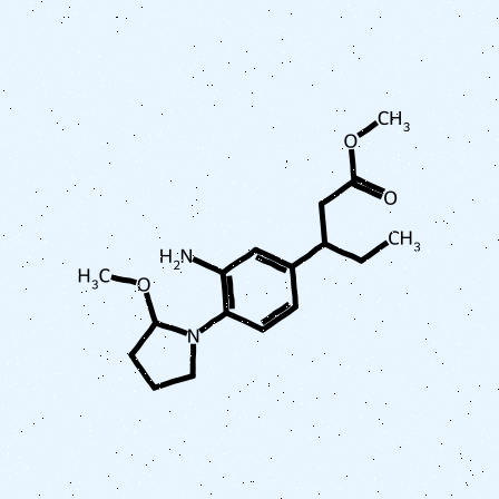 CCC(CC(=O)OC)c1ccc(N2CCCC2OC)c(N)c1